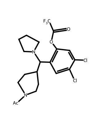 CC(=O)N1CCC(C(c2cc(Cl)c(Cl)cc2OC(=O)C(F)(F)F)N2CCCC2)CC1